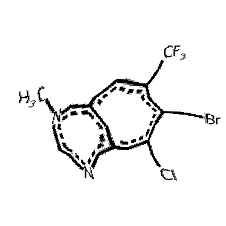 Cn1cnc2c(Cl)c(Br)c(C(F)(F)F)cc21